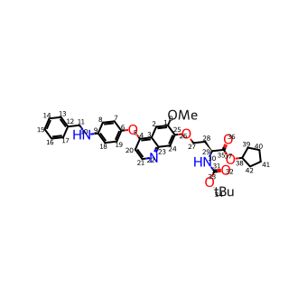 COc1cc2c(Oc3ccc(NCc4ccccc4)cc3)ccnc2cc1OCC[C@H](NC(=O)OC(C)(C)C)C(=O)OC1CCCC1